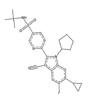 CC(C)(C)NS(=O)(=O)c1ccc(-c2c(C#N)c3cc(F)c(C4CC4)cc3n2C2CCCC2)nc1